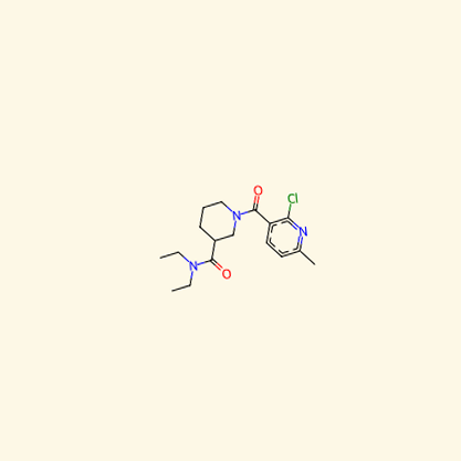 CCN(CC)C(=O)C1CCCN(C(=O)c2ccc(C)nc2Cl)C1